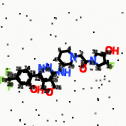 O=C(CN1CCC[C@@H](Nc2nnc(-c3ccc(C(F)(F)F)cc3O)c3c2COC3)C1)N1C[C@H](O)[C@@H](F)C1